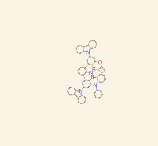 c1ccc(N2c3ccccc3B3c4c(cc(-n5c6ccccc6c6ccccc65)cc42)-c2cccc4c2N3B2c3ccccc3Oc3cc(-n5c6ccccc6c6ccccc65)cc-4c32)cc1